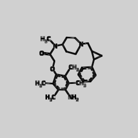 Cc1c(C)c(OCC(=O)N(C)C2CCN(CC3CC3c3ccccc3)CC2)c(C)c(C)c1N